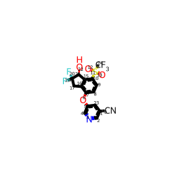 N#Cc1cncc(Oc2ccc(S(=O)(=O)C(F)(F)F)c3c2CC(F)(F)[C@H]3O)c1